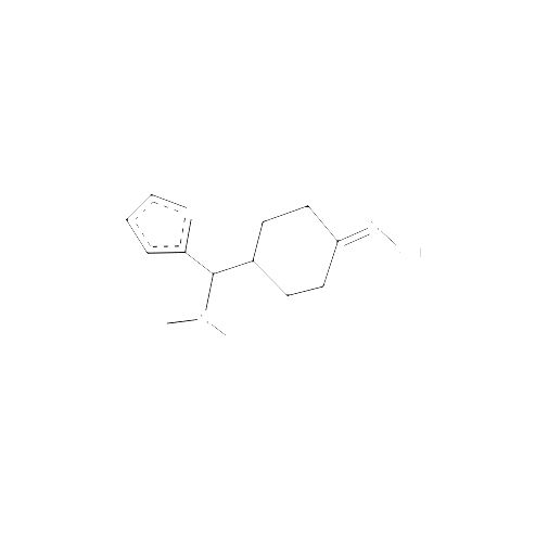 CN(C)C(c1cccs1)C1CCC(=NO)CC1